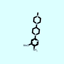 COc1cc(N2CCC(N3CCN(C)CC3)CC2)ncc1N